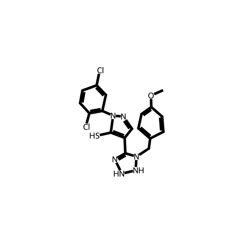 COc1ccc(CN2NNN=C2c2cnn(-c3cc(Cl)ccc3Cl)c2S)cc1